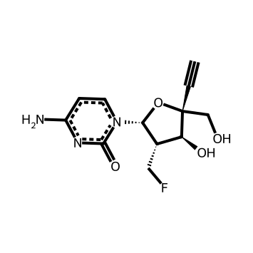 C#C[C@]1(CO)O[C@@H](n2ccc(N)nc2=O)[C@@H](CF)[C@@H]1O